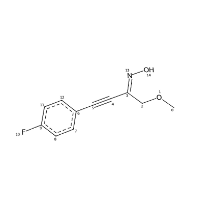 COCC(C#Cc1ccc(F)cc1)=NO